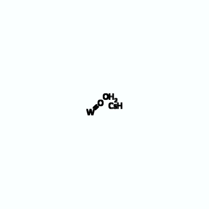 O.[CsH].[O]=[W]